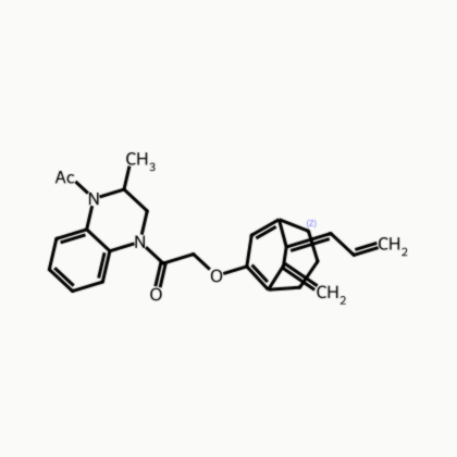 C=C/C=c1/c2cc(OCC(=O)N3CC(C)N(C(C)=O)c4ccccc43)c(c1=C)CCC2